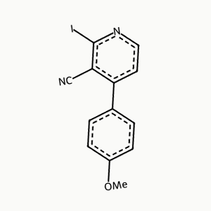 COc1ccc(-c2ccnc(I)c2C#N)cc1